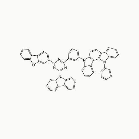 c1ccc(-n2c3ccccc3c3ccc4c(c5ccccc5n4-c4cccc(-c5nc(-c6ccc7c(c6)oc6ccccc67)nc(-n6c7ccccc7c7ccccc76)n5)c4)c32)cc1